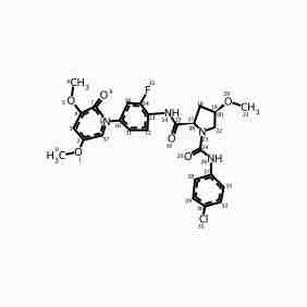 COc1cc(OC)c(=O)n(-c2ccc(NC(=O)[C@H]3C[C@@H](OC)CN3C(=O)Nc3ccc(Cl)cc3)c(F)c2)c1